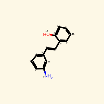 Nc1cccc(/C=C/c2ccccc2O)c1